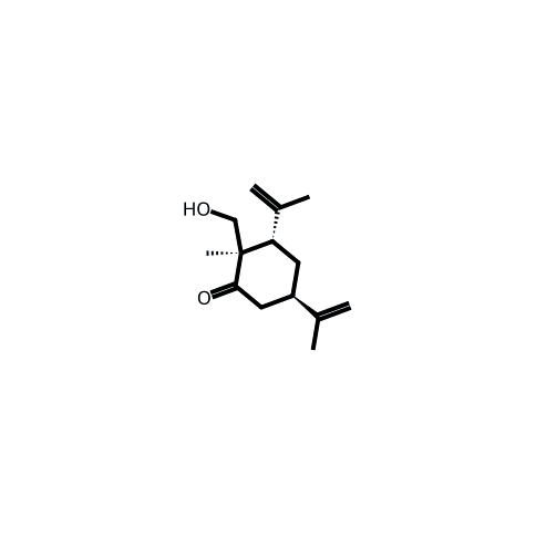 C=C(C)[C@H]1CC(=O)[C@@](C)(CO)[C@H](C(=C)C)C1